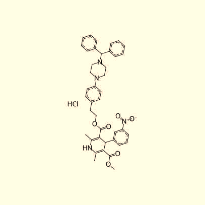 COC(=O)C1=C(C)NC(C)=C(C(=O)OCCc2ccc(N3CCN(C(c4ccccc4)c4ccccc4)CC3)cc2)C1c1cccc([N+](=O)[O-])c1.Cl